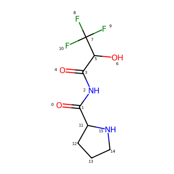 O=C(NC(=O)C(O)C(F)(F)F)C1CCCN1